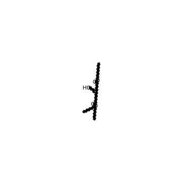 CCCCCCCCCCCOC(=O)CCCCCN(CCCCCCCC(=O)OC(CCCCCCCC)CCCCCCCC)C(C)CCCO